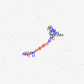 COc1cc(C(=O)NC2CCN(CCOCCOOCCOOCCOCCNc3ccc(C4CCC(=O)NC4=O)cc3)CC2)c(F)cc1Nc1ncc2c(n1)N(C1CCCC1)CC(F)(F)C(=O)N2C